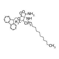 CCCCCCCCCCCCN[C@@](C(N)=O)(C(=O)OCC1c2ccccc2-c2ccccc21)C(C)C